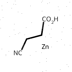 N#CCCC(=O)O.[Zn]